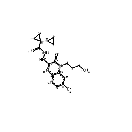 CCCCn1c(=O)c(NNC(=O)C2(C3CC3)CC2)nc2ncc(Br)cc21